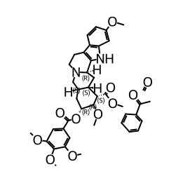 C=O.CC(=O)c1ccccc1.COC(=O)[C@H]1[C@H]2C[C@@H]3c4[nH]c5cc(OC)ccc5c4CCN3C[C@H]2C[C@@H](OC(=O)c2cc(OC)c(OC)c(OC)c2)[C@@H]1OC